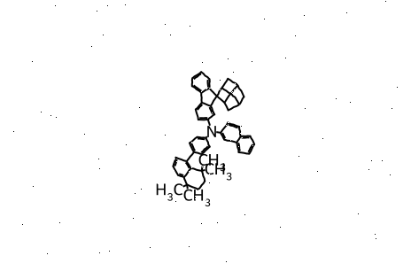 CC1(C)CCC(C)(C)c2c(-c3ccc(N(c4ccc5c(c4)C4(c6ccccc6-5)C5CC6CC7CC4C75C6)c4ccc5ccccc5c4)cc3)cccc21